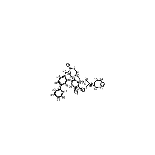 O=C1CCC(CCN2CC(N3CCOCC3)C2)(c2ccc(Cl)c(Cl)c2)CN1Cc1ccc(-c2ccccc2)cc1